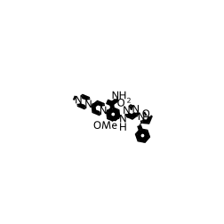 C=C(C(N)=O)c1cc(Nc2cc(N3OCC[C@@H]3Cc3ccccc3)ncn2)c(OC)cc1N1CCC(N2CCN(C)CC2)CC1